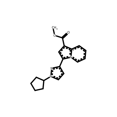 COC(=O)c1cc(-c2ccn(C3CCCC3)n2)n2ccccc12